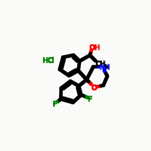 CC(O)c1ccccc1C1(c2ccc(F)cc2F)CNCCO1.Cl